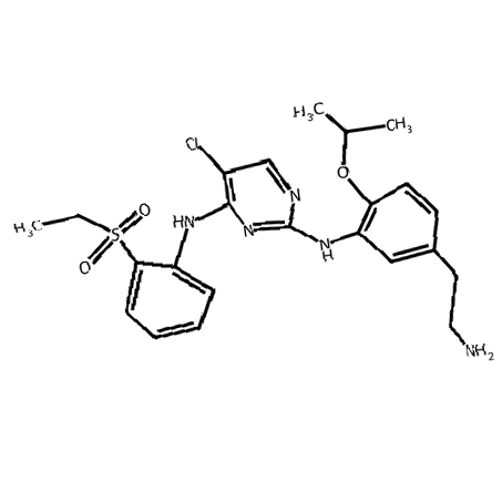 CCS(=O)(=O)c1ccccc1Nc1nc(Nc2cc(CCN)ccc2OC(C)C)ncc1Cl